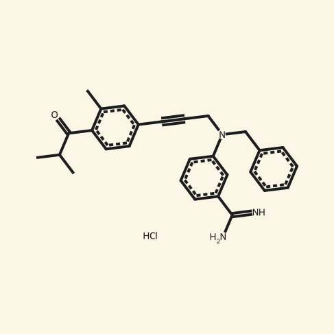 Cc1cc(C#CCN(Cc2ccccc2)c2cccc(C(=N)N)c2)ccc1C(=O)C(C)C.Cl